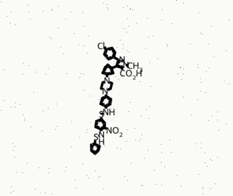 Cn1nc(-c2ccc(Cl)cc2)c(-c2cccc(N3CCN(c4ccc(NSc5ccc(NSc6ccccc6)c([N+](=O)[O-])c5)cc4)CC3)c2)c1C(=O)O